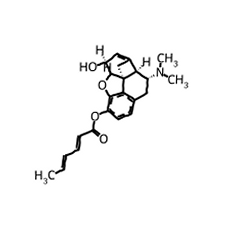 C/C=C/C=C/C(=O)Oc1ccc2c3c1O[C@H]1[C@@H](O)C=C4C[C@]31[C@@H]4[C@H](N(C)C)C2